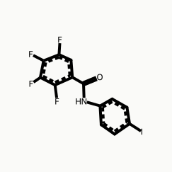 O=C(Nc1ccc(I)cc1)c1cc(F)c(F)c(F)c1F